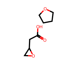 C1CCOC1.O=C(O)CC1CO1